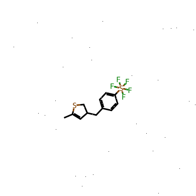 CC1=CC(Cc2ccc(S(F)(F)(F)(F)F)cc2)CS1